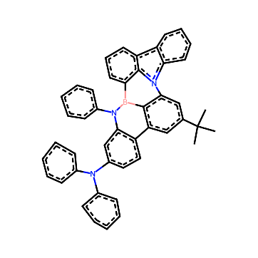 CC(C)(C)c1cc2c3c(c1)-n1c4ccccc4c4cccc(c41)B3N(c1ccccc1)c1cc(N(c3ccccc3)c3ccccc3)ccc1-2